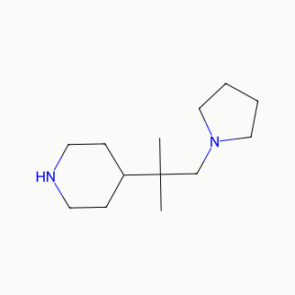 CC(C)(CN1CCCC1)C1CCNCC1